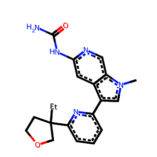 CCC1(c2cccc(-c3cn(C)c4cnc(NC(N)=O)cc34)n2)CCOC1